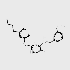 COc1cccc(CNc2nc(Nc3cccc(CCCO)c3)ncc2Cl)c1